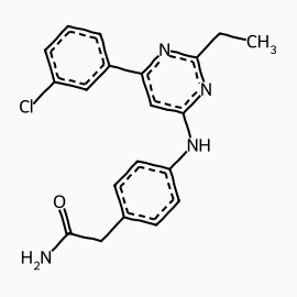 CCc1nc(Nc2ccc(CC(N)=O)cc2)cc(-c2cccc(Cl)c2)n1